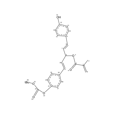 C=C(C)C(=O)OC(C=Cc1ccc(O)cc1)C=Cc1ccc(OC(=O)OC(C)(C)C)cc1